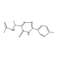 CC(=O)NC(C)c1nnc(-c2ccc(C)cc2)[nH]c1=O